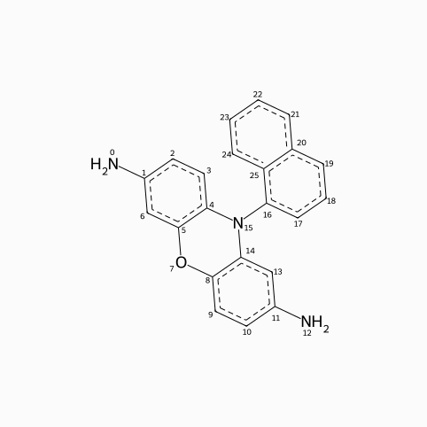 Nc1ccc2c(c1)Oc1ccc(N)cc1N2c1cccc2ccccc12